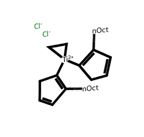 CCCCCCCCC1=[C]([Ti+2]2([C]3=C(CCCCCCCC)C=CC3)[CH2][CH2]2)CC=C1.[Cl-].[Cl-]